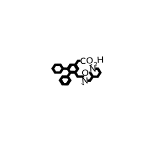 CN1CCCC(CN(C)C(=O)Cc2cc(CC(=O)O)cc(C3CCCCC3)c2-c2ccccc2)C1